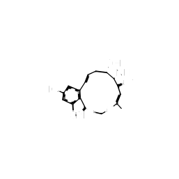 C/C1=C/C(=O)[C@@H](N)[C@@H](O)C/C=C/c2cc(O)cc(O)c2C(=O)OCC1